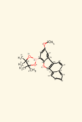 COc1cc(B2OC(C)(C)C(C)(C)O2)c2oc3c4ccccc4ccc3c2c1